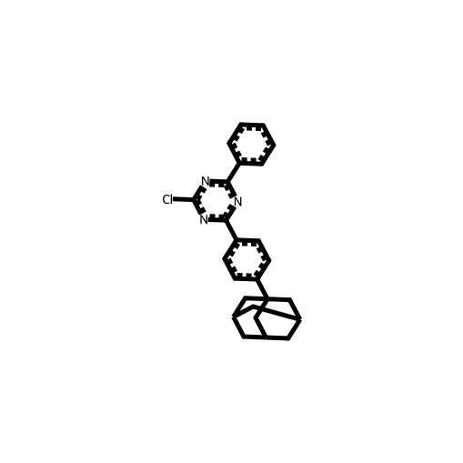 Clc1nc(-c2ccccc2)nc(-c2ccc(C34CC5CC(CC(C5)C3)C4)cc2)n1